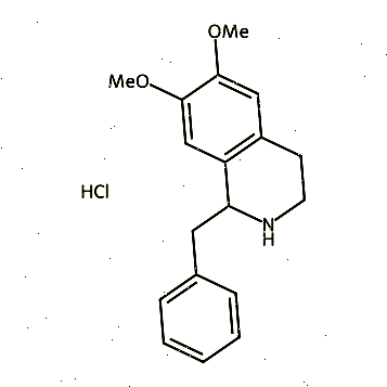 COc1cc2c(cc1OC)C(Cc1ccccc1)NCC2.Cl